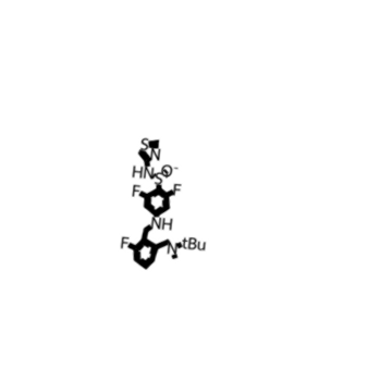 CN(Cc1cccc(F)c1CNc1cc(F)c([S+]([O-])Nc2cscn2)c(F)c1)C(C)(C)C